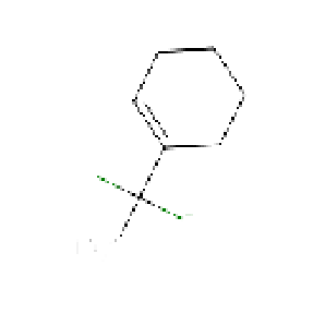 O=C(O)C(F)(F)C1=CCCCC1